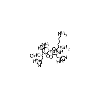 NCCCC[C@H](N)C(=O)N[C@@H](Cc1cnc[nH]1)C(=O)N[C@@H](Cc1cnc[nH]1)C(=O)N[C@H](C=O)Cc1cnc[nH]1